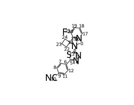 CN(c1nnc(-c2ccc(C#N)cc2)s1)C1(c2ncccc2F)CCC1